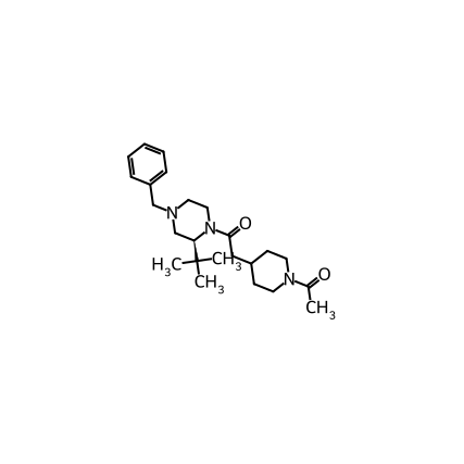 CC(=O)N1CCC(CC(=O)N2CCN(Cc3ccccc3)C[C@@H]2C(C)(C)C)CC1